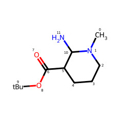 CN1CCCC(C(=O)OC(C)(C)C)C1N